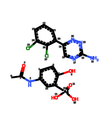 CC(=O)Nc1ccc(O)c([As](=O)(O)O)c1.Nc1ncc(-c2cccc(Cl)c2Cl)nn1